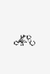 COCN(C(=O)OCC1C2=C(C=CCC=C2)c2ccccc21)c1ccccc1